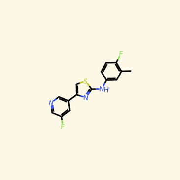 Cc1cc(Nc2nc(-c3cncc(F)c3)cs2)ccc1F